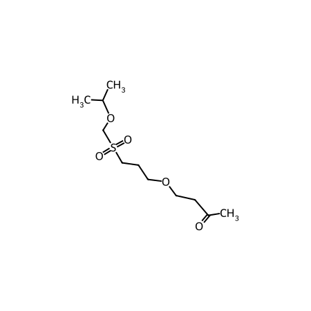 CC(=O)CCOCCCS(=O)(=O)COC(C)C